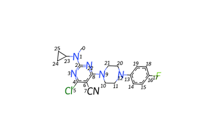 CN(c1nc(Cl)c(C#N)c(N2CCN(c3ccc(F)cc3)CC2)n1)C1CC1